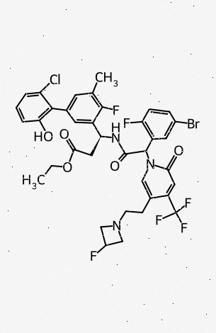 CCOC(=O)C[C@H](NC(=O)C(c1cc(Br)ccc1F)n1cc(CCN2CC(F)C2)c(C(F)(F)F)cc1=O)c1cc(-c2c(O)cccc2Cl)cc(C)c1F